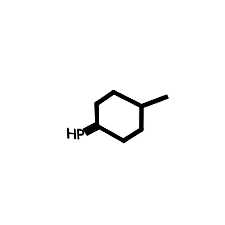 CC1CCC(=P)CC1